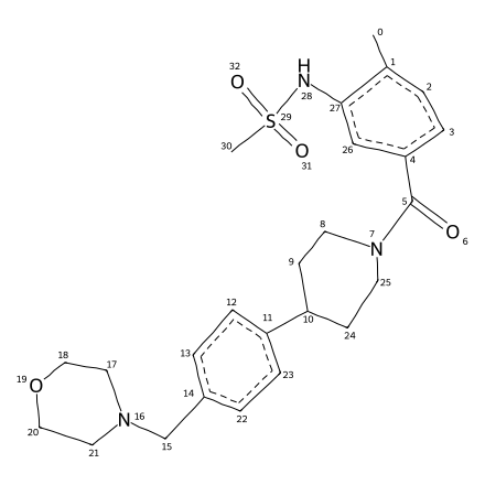 Cc1ccc(C(=O)N2CCC(c3ccc(CN4CCOCC4)cc3)CC2)cc1NS(C)(=O)=O